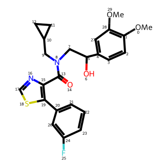 COc1ccc(C(O)CN(CC2CC2)C(=O)c2ncsc2-c2cccc(F)c2)cc1OC